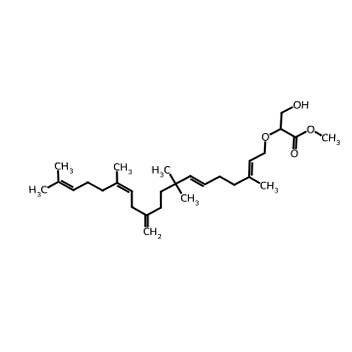 C=C(CC=C(C)CCC=C(C)C)CCC(C)(C)C=CCCC(C)=CCOC(CO)C(=O)OC